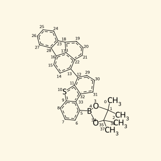 CC1(C)OB(c2cccc3sc4c(-c5ccc6c7c(cccc57)-c5ccccc5-6)cccc4c23)OC1(C)C